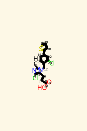 Cc1nc(Cl)c(/C=C/C(=O)O)n1Cc1ccc(-c2cccs2)cc1Cl